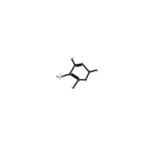 CC1=CC(C)CC(C)=C1N